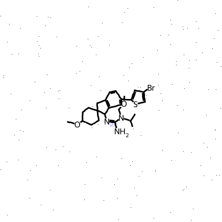 COCN(/C(N)=N\C1c2cc(-c3cc(Br)cs3)ccc2CC12CCC(OC)CC2)C(C)C